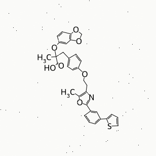 Cc1oc(-c2cccc(-c3cccs3)c2)nc1CCOc1ccc(CC(C)(Oc2ccc3c(c2)OCO3)C(=O)O)cc1